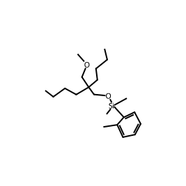 CCCCC(CCCC)(COC)CO[Si](C)(C)c1ccccc1C